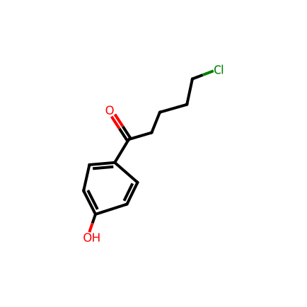 O=C(CCCCCl)c1ccc(O)cc1